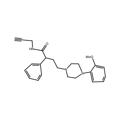 C#CCNC(=O)C(CCN1CCN(c2ccccc2OC)CC1)c1ccccc1